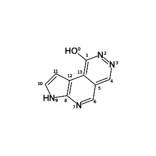 Oc1nncc2cnc3[nH]ccc3c12